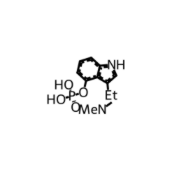 CCc1c[nH]c2cccc(OP(=O)(O)O)c12.CNC